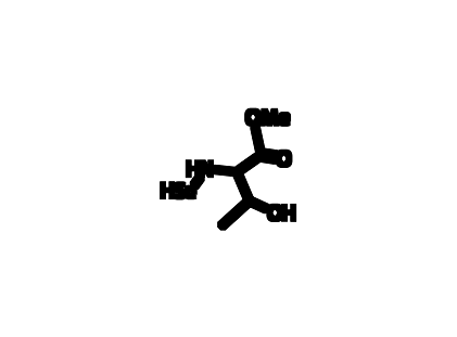 COC(=O)C(N[SeH])C(C)O